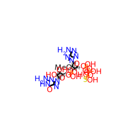 CO[C@@H]1[C@H](OP(=O)(O)OC[C@H]2O[C@@H](n3cnc4c(=O)[nH]c(N)nc43)[C@H](O)[C@@H]2O)[C@@H](COP(=O)(O)OP(=O)(O)OP(O)(O)=S)O[C@H]1n1cnc2c(N)ncnc21